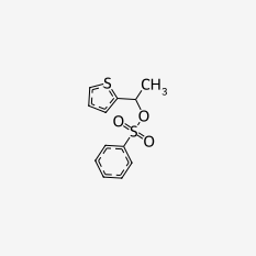 CC(OS(=O)(=O)c1ccccc1)c1cccs1